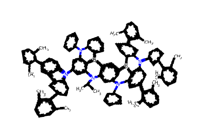 Cc1cccc(C)c1-c1cccc(N2c3cc(-c4c(C)cccc4C)ccc3B3c4cc5c(cc4N(c4ccccc4)c4cc(-c6c(C)cccc6C)cc2c43)N(C(C)C)c2cc(-n3c4ccc(-c6c(C)cccc6C)cc4c4cc(-c6c(C)cccc6C)ccc43)cc3c2B5c2ccccc2N3c2ccccc2)c1